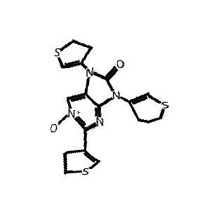 O=c1n(C2=CSCC2)c2c[n+]([O-])c(C3=CSCC3)nc2n1C1=CSCC1